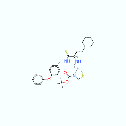 CC(C)(C)OC(=O)N1CSC[C@H]1CN[C@H](CCC1CCCCC1)C(=S)NCc1ccc(Oc2ccccc2)cc1